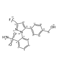 NS(=O)(=O)c1ccccc1-n1nc(C(F)(F)F)cc1-c1ccc(CO)cc1